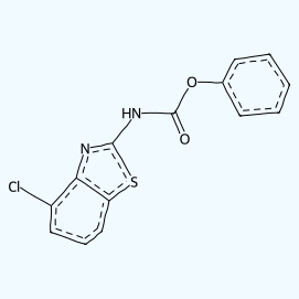 O=C(Nc1nc2c(Cl)cccc2s1)Oc1ccccc1